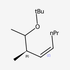 CCC/C=C\[C@@H](C)C(C)OC(C)(C)C